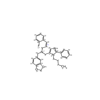 CCCCn1c(CN(C/C=C\c2ccccc2F)Cc2ccc3c(c2)OCO3)cnc1-c1ccccc1